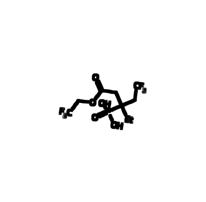 CCC(CC(=O)OCC(F)(F)F)(CC(F)(F)F)P(=O)(O)O